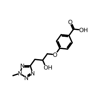 Cn1nnc(CC(O)COc2ccc(C(=O)O)cc2)n1